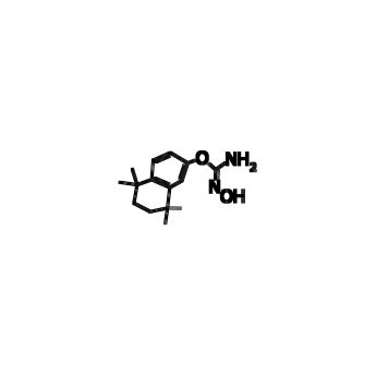 CC1(C)CCC(C)(C)c2cc(OC(N)=NO)ccc21